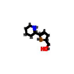 OCC1CC=C(C2=NCCCC2)S1